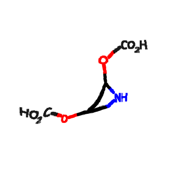 O=C(O)OC1NC1OC(=O)O